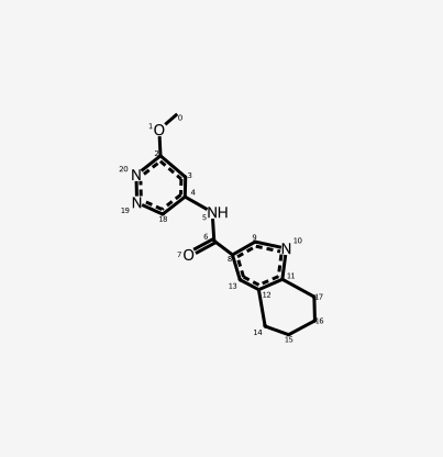 COc1cc(NC(=O)c2cnc3c(c2)CCCC3)cnn1